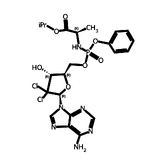 CC(C)OC(=O)[C@@H](C)NP(=O)(OC[C@H]1O[C@@H](n2cnc3c(N)ncnc32)C(Cl)(Cl)[C@@H]1O)Oc1ccccc1